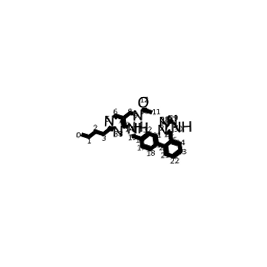 CCCCc1ncc(CNC(C)=O)c(NCc2ccc(-c3ccccc3-c3nnn[nH]3)cc2)n1